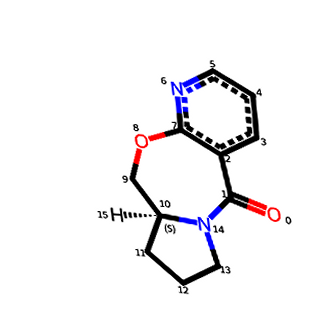 O=C1c2cccnc2OC[C@@H]2CCCN12